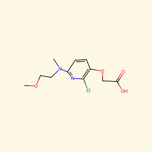 COCCN(C)c1ccc(OCC(=O)O)c(Cl)n1